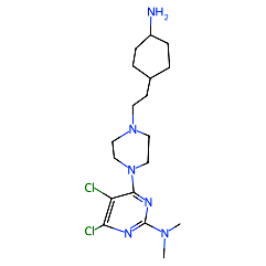 CN(C)c1nc(Cl)c(Cl)c(N2CCN(CCC3CCC(N)CC3)CC2)n1